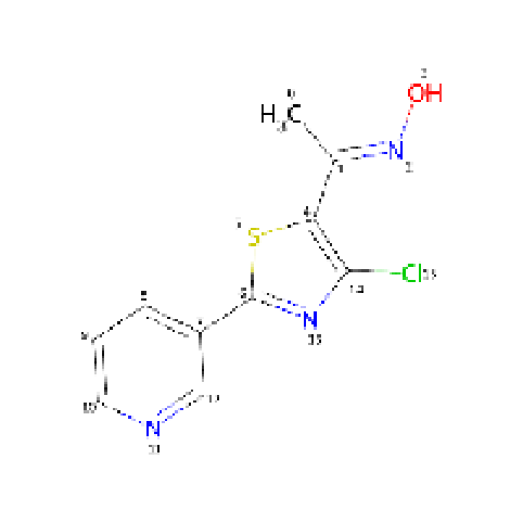 C/C(=N\O)c1sc(-c2cccnc2)nc1Cl